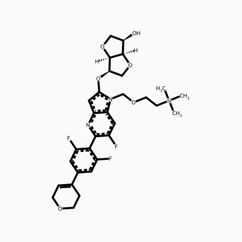 C[Si](C)(C)CCOCn1c(O[C@@H]2CO[C@H]3[C@@H]2OC[C@H]3O)cc2nc(-c3c(F)cc(C4=CCOCC4)cc3F)c(F)cc21